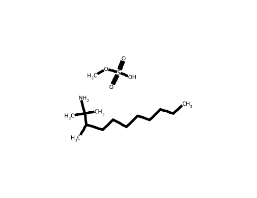 CCCCCCCCC(C)C(C)(C)N.COS(=O)(=O)O